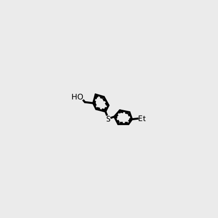 CCc1ccc(Sc2cccc(CO)c2)cc1